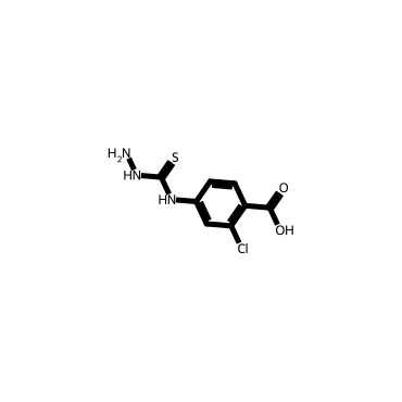 NNC(=S)Nc1ccc(C(=O)O)c(Cl)c1